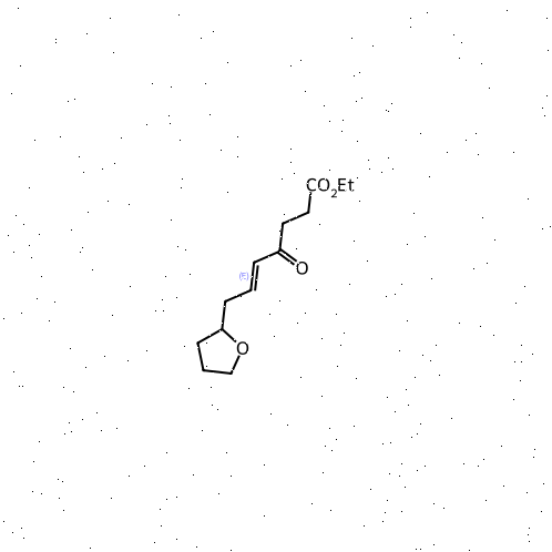 CCOC(=O)CCC(=O)/C=C/CC1CCCO1